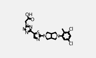 Cc1c(Cl)cc(Cl)cc1N1CC2CN(c3ncc(-c4nnn(CC(=O)O)n4)s3)CC2C1